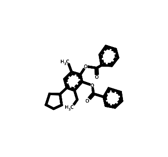 CCc1c(C2CCCC2)cc(C)c(OC(=O)c2ccccc2)c1OC(=O)c1ccccc1